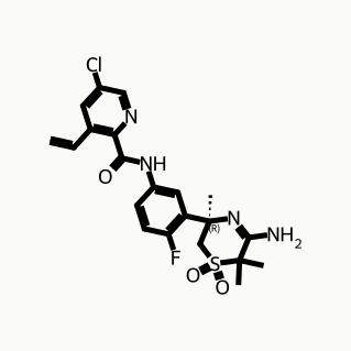 C=Cc1cc(Cl)cnc1C(=O)Nc1ccc(F)c([C@]2(C)CS(=O)(=O)C(C)(C)C(N)=N2)c1